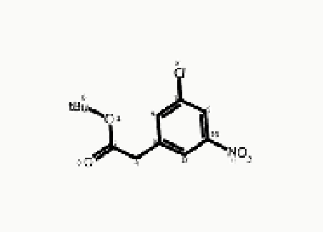 CC(C)(C)OC(=O)Cc1cc(Cl)cc([N+](=O)[O-])c1